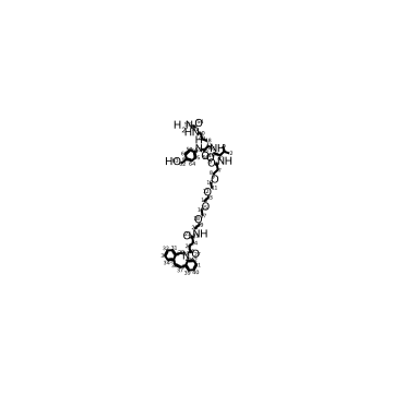 CC(C)[C@H](NC(=O)CCOCCOCCOCCOCCNC(=O)CCC(=O)N1Cc2ccccc2/C=C\c2ccccc21)C(=O)N[C@@H](CCCNC(N)=O)C(=O)Nc1ccc(CO)cc1